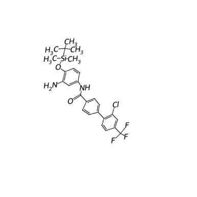 CC(C)(C)[Si](C)(C)Oc1ccc(NC(=O)c2ccc(-c3ccc(C(F)(F)F)cc3Cl)cc2)cc1N